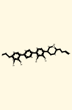 C=CCCC1CCC(c2ccc(-c3ccc(-c4ccc(CCC)c(F)c4F)cc3)c(F)c2F)CO1